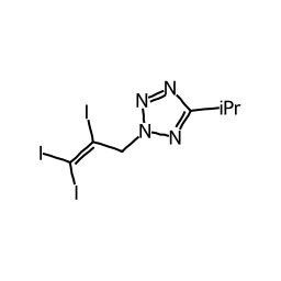 CC(C)c1nnn(CC(I)=C(I)I)n1